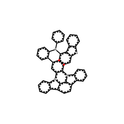 c1ccc(N(c2ccccc2-c2ccc3c(c2)n2c4ccccc4c4ccc5c6ccccc6n3c5c42)c2cccc3sc4ccccc4c23)cc1